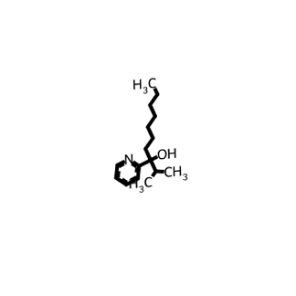 CCCCCCCC(O)(c1ccccn1)C(C)C